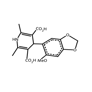 COc1cc2c(cc1C1C(C(=O)O)=C(C)NC(C)=C1C(=O)O)OCO2